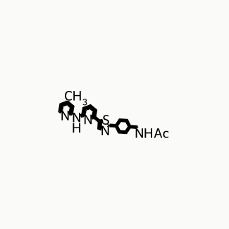 CC(=O)NCC1CCC(c2ncc(-c3cccc(Nc4cc(C)ccn4)n3)s2)CC1